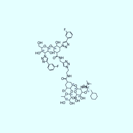 CCC1CC(C(=O)NCCn2cc(CNC(=O)C3CC(n4cc(-c5cccc(F)c5)nn4)C(O)[C@H](O[C@@H]4OC(CO)[C@H](O)C(n5cc(-c6cccc(F)c6)nn5)C4O)C3)nn2)C[C@@H](O[C@@H]2OC(CO)[C@H](O)C(O[C@@H](CC3CCCCC3)C(=O)N(C)C)C2NC(C)=O)C1O[C@@H]1OC(C)[C@@H](O)C(O)C1O